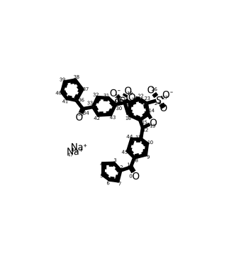 O=C(c1ccccc1)c1ccc(C2Oc3c2c2c(S(=O)(=O)[O-])c(c3S(=O)(=O)[O-])OC2c2ccc(C(=O)c3ccccc3)cc2)cc1.[Na+].[Na+]